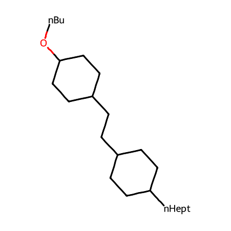 CCCCCCCC1CCC(CCC2CCC(OCCCC)CC2)CC1